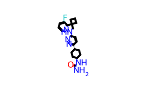 NC(=O)N[C@H]1CC[C@H](c2ccc(NCC3(c4ncccc4F)CCC3)nn2)CC1